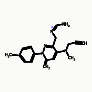 C#CCN(C)C1=CC(=C)N(c2ccc(C)cc2)N=C1C/N=C\N